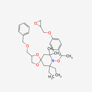 CCC1(CC)CC2(CC(C)(C)N1OC(C)c1ccc(OCC3CO3)cc1)OCC(COCc1ccccc1)O2